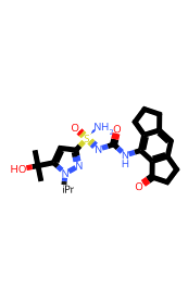 CC(C)n1nc([S@@](N)(=O)=NC(=O)Nc2c3c(cc4c2C(=O)CC4)CCC3)cc1C(C)(C)O